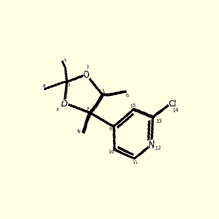 CC1OC(C)(C)OC1(C)c1ccnc(Cl)c1